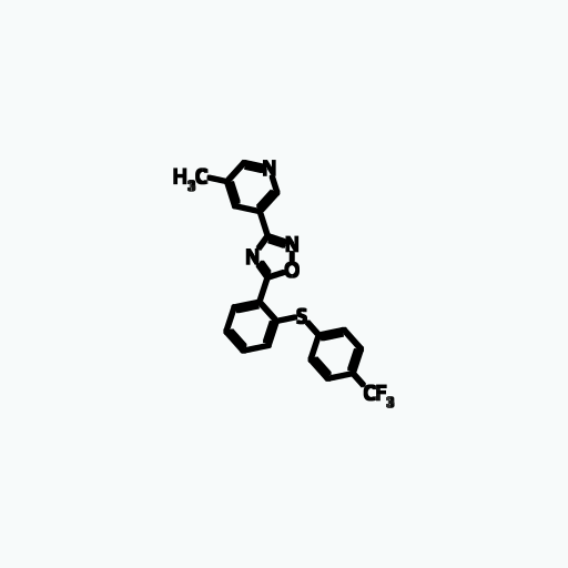 Cc1cncc(-c2noc(-c3ccccc3Sc3ccc(C(F)(F)F)cc3)n2)c1